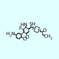 C=CC(=O)N1CCN(/C(S)=C2\C=C(Cl)C(c3cc(N)ccc3Cl)=C(F)C2=N)CC1